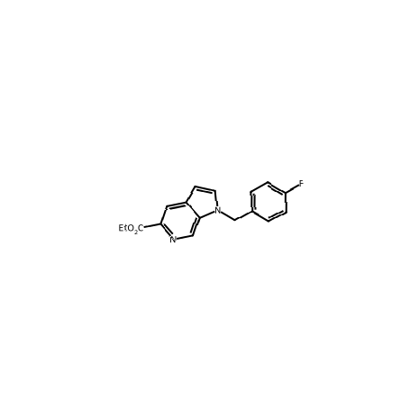 CCOC(=O)c1cc2ccn(Cc3ccc(F)cc3)c2cn1